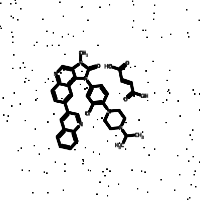 CC(C)N1CCN(c2ccc(-n3c(=O)n(C)c4cnc5ccc(-c6cnc7ccccc7c6)cc5c43)cc2Cl)CC1.O=C(O)C=CC(=O)O